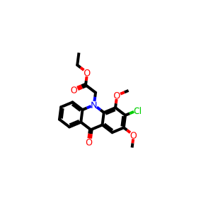 CCOC(=O)Cn1c2ccccc2c(=O)c2cc(OC)c(Cl)c(OC)c21